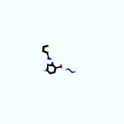 CN(C)CCNC(=O)c1ccc(O)c2[nH]c(-c3cccs3)nc12